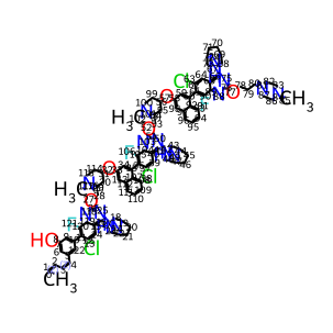 C/C=C\C=C/c1cc(O)cc(-c2c(Cl)cc3c(N4CC5CCC(C4)N5)nc(OC[C@@H]4CC(Oc5cc(-c6c(Cl)cc7c(N8CC9CCC(C8)N9)nc(OC[C@@H]8CC(Oc9cc(-c%10c(Cl)cc%11c(N%12CC%13CCC(C%12)N%13)nc(OCCCN%12CCN(C)CC%12)nc%11c%10F)c%10ccccc%10c9)CCN8C)nc7c6F)c6ccccc6c5)CCN4C)nc3c2F)c1